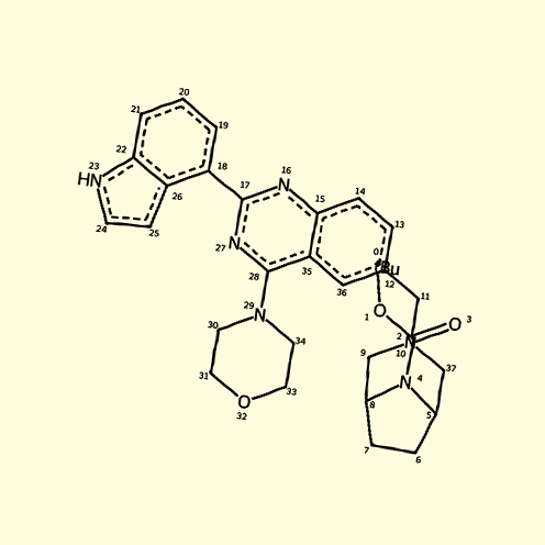 CC(C)(C)OC(=O)N1C2CCC1CN(Cc1ccc3nc(-c4cccc5[nH]ccc45)nc(N4CCOCC4)c3c1)C2